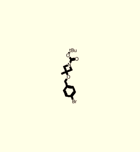 CC(C)(C)OC(=O)N1CC(C)(OCc2ccc(Br)cc2)C1